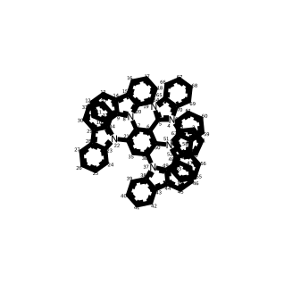 c1ccc(-n2c(-c3c(-n4c5ccccc5c5ccccc54)c(-n4c5ccccc5c5ccccc54)cc(-n4c5ccccc5c5ccccc54)c3-n3c4ccccc4c4ccccc43)nc3ccccc32)cc1